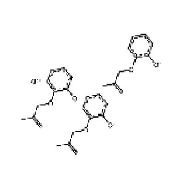 C=C(C)COc1ccccc1[O-].C=C(C)COc1ccccc1[O-].C=C(C)COc1ccccc1[O-].[Al+3]